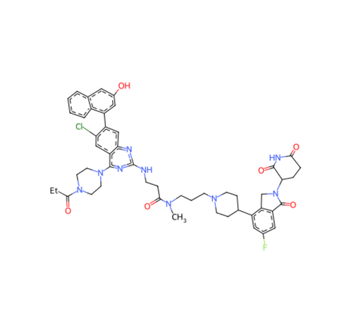 CCC(=O)N1CCN(c2nc(NCCC(=O)N(C)CCCN3CCC(c4cc(F)cc5c4CN(C4CCC(=O)NC4=O)C5=O)CC3)nc3cc(-c4cc(O)cc5ccccc45)c(Cl)cc23)CC1